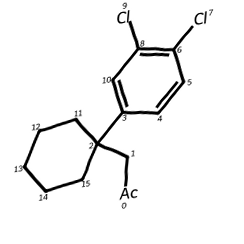 CC(=O)CC1(c2ccc(Cl)c(Cl)c2)CCCCC1